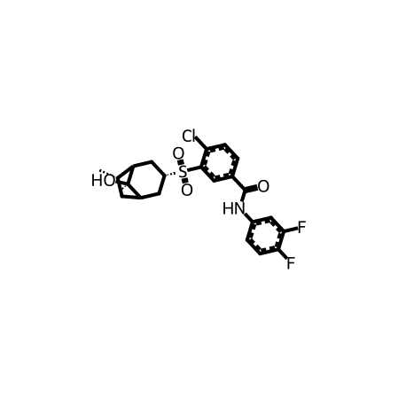 C[C@H]1CC2C[C@@H](S(=O)(=O)c3cc(C(=O)Nc4ccc(F)c(F)c4)ccc3Cl)CC1[C@]2(C)O